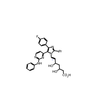 CC(C)c1nc(-c2ccc(F)cc2)c(-c2ccnc(Nc3ccccc3)n2)n1/C=C/C(O)CC(O)CC(=O)O